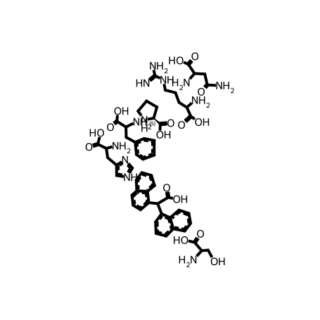 N=C(N)NCCCC(N)C(=O)O.NC(=O)CC(N)C(=O)O.NC(CO)C(=O)O.NC(Cc1c[nH]cn1)C(=O)O.NC(Cc1ccccc1)C(=O)O.O=C(O)C(c1cccc2ccccc12)c1cccc2ccccc12.O=C(O)[C@@H]1CCCN1